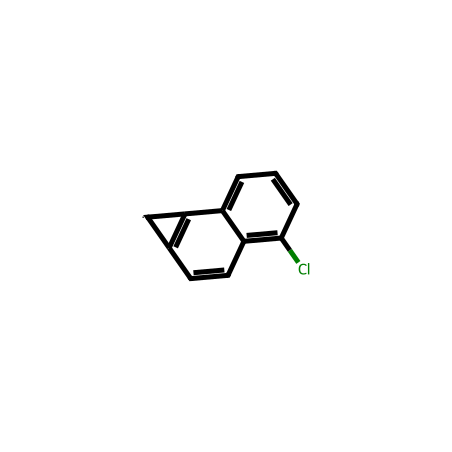 Clc1cccc2c3c(ccc12)[CH]3